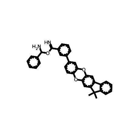 CC1(C)c2ccccc2-c2cc3c(cc21)Oc1ccc(-c2cccc(C(=N)OC(N)c4ccccc4)c2)cc1O3